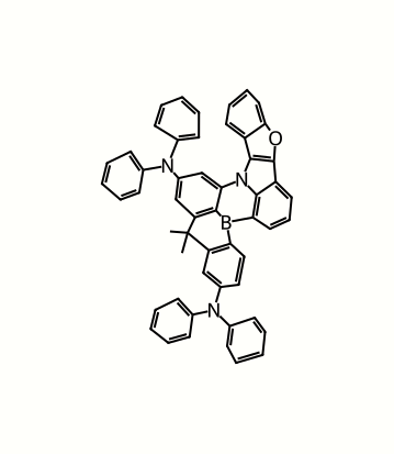 CC1(C)c2cc(N(c3ccccc3)c3ccccc3)ccc2B2c3c(cc(N(c4ccccc4)c4ccccc4)cc31)-n1c3c2cccc3c2oc3ccccc3c21